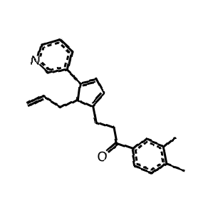 C=CCC1C(CCC(=O)c2ccc(C)c(C)c2)=CC=C1c1cccnc1